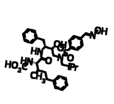 CC(C)CN(C[C@H](O)[C@H](Cc1ccccc1)NC(=O)[C@@H](NC(=O)O)C(C)CCc1ccccc1)S(=O)(=O)c1ccc(C=NO)cc1